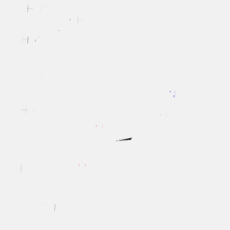 CC(C)COC(=O)[C@H](CC(=O)ON1C(=O)CCC1=O)OC(=O)[C@H](C)OC(=O)OC(C)(C)C